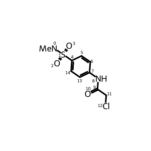 CNS(=O)(=O)c1ccc(NC(=O)CCl)cc1